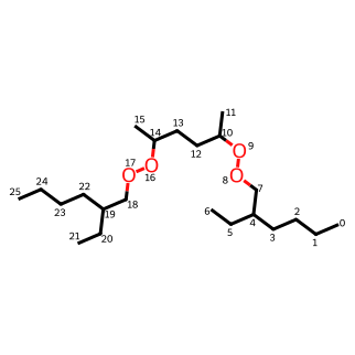 CCCCC(CC)COOC(C)CCC(C)OOCC(CC)CCCC